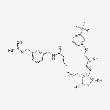 O=C(CCC/C=C\C[C@@H]1[C@@H](/C=C/[C@@H](O)COc2cccc(C(F)(F)F)c2)[C@H](O)C[C@@H]1O)NCc1cccc(CON(O)O)c1